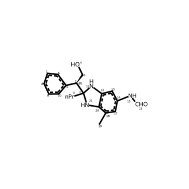 CCCC1([C@H](CO)c2ccccc2)Nc2cc(NC=O)cc(C)c2N1